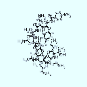 CCNC(=O)[C@@H](NC(=O)[C@H](CCN)NC(=O)[C@H](CCCN)NC(=O)[C@H](CC(C)C)NC(=O)[C@@H](Cc1ccccc1)NC(=O)[C@H](CCN)NC(=O)[C@H](C)NC(=O)[C@H](CCN)NC(=O)[C@H](C)NC(=O)C1CCC(N)CC1)C(C)O